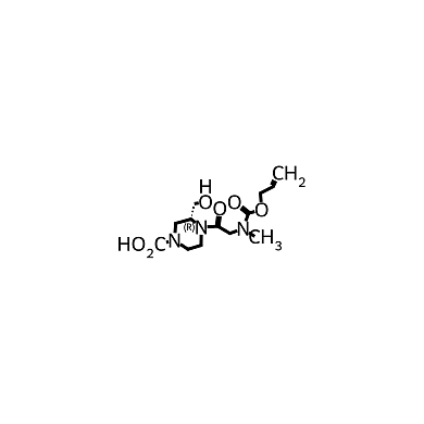 C=CCOC(=O)N(C)CC(=O)N1CCN(C(=O)O)C[C@@H]1CO